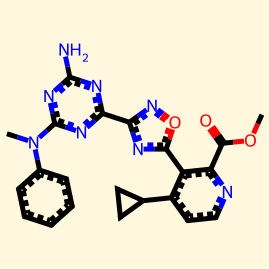 COC(=O)c1nccc(C2CC2)c1-c1nc(-c2nc(N)nc(N(C)c3ccccc3)n2)no1